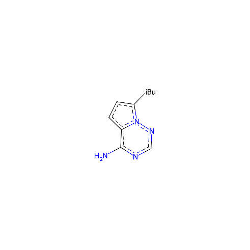 CCC(C)c1ccc2c(N)ncnn12